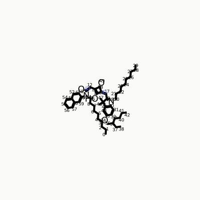 CCCCCCCCCCN1/C(=C\C2=C(O)C(=C\C3=[N+](CCCCCCCCCC)c4ccc(OCC(CC)CCCC)cc4C3(C)C)/C2=O)Oc2cc3ccccc3cc21